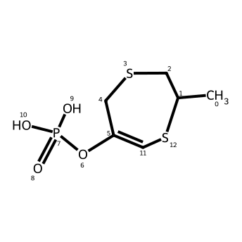 CC1CSCC(OP(=O)(O)O)=CS1